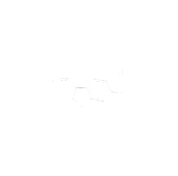 O=CC1C=Cc2cc(F)c(O)cc21